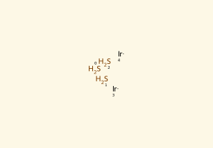 S.S.S.[Ir].[Ir]